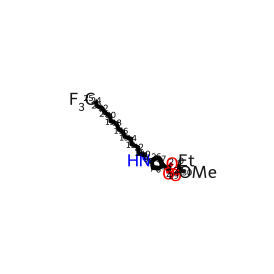 CCC(OC(=O)c1ccc(NCCCCCCCCCCCCCCCC(F)(F)F)cc1)C(=O)OC